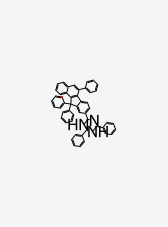 c1ccc(C2=NC(c3ccc4c(c3)C(c3ccccc3)(c3ccccc3)c3c-4c(-c4ccccc4)cc4ccccc34)NC(c3ccccc3)N2)cc1